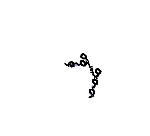 CCN1C=CC(/C=C/c2ccc(N(CCSSCCN(Cc3ccccc3)c3ccc(/C=C/c4cc[n+](CC)cc4)cc3)Cc3ccccc3)cc2)=CC1